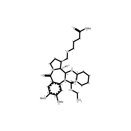 COC(=O)CCCOC[C@@H]1CCN2C(=O)c3cc(OC)c(OC)cc3N(C(=O)OCC(Cl)(Cl)Cl)C(OC3CCCCO3)[C@H]12